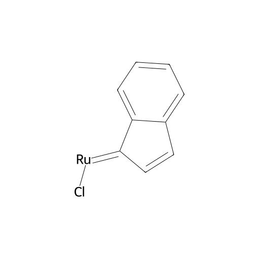 [Cl][Ru]=[C]1C=Cc2ccccc21